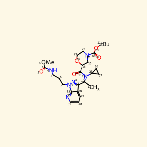 COC(=O)NCCCn1nc(C(C)N(C(=O)[C@H]2CN(C(=O)OC(C)(C)C)CCO2)C2CC2)c2cccnc21